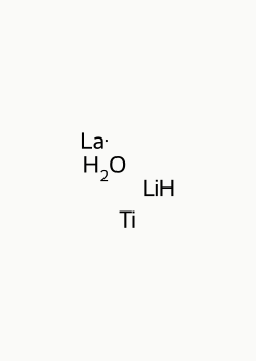 O.[La].[LiH].[Ti]